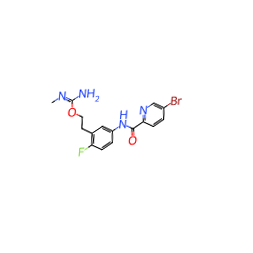 C/N=C(/N)OCCc1cc(NC(=O)c2ccc(Br)cn2)ccc1F